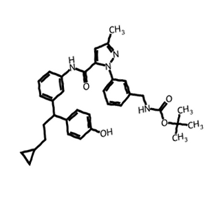 Cc1cc(C(=O)Nc2cccc(C(CCC3CC3)c3ccc(O)cc3)c2)n(-c2cccc(CNC(=O)OC(C)(C)C)c2)n1